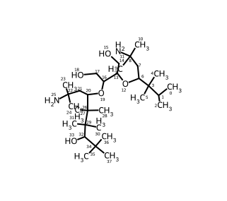 CC(C)C(C)(C)C(CC(C)(C)N)OC(CO)C(CO)OC(CC(C)(C)N)C(C)(C)C(C)(C)C(O)C(C)(C)C